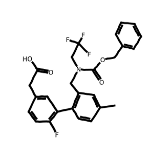 Cc1ccc(-c2cc(CC(=O)O)ccc2F)c(CN(CC(F)(F)F)C(=O)OCc2ccccc2)c1